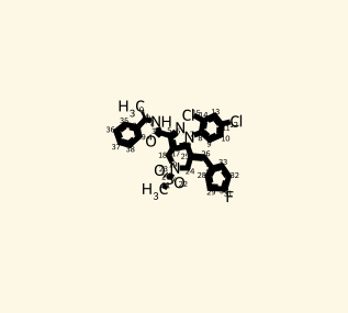 C[C@@H](NC(=O)c1nn(-c2ccc(Cl)cc2Cl)c2c1CN(S(C)(=O)=O)CC2=Cc1ccc(F)cc1)c1ccccc1